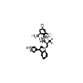 Nc1cc(Cl)cc(Cl)c1S(=O)(=O)NC(Cn1cc(-c2cn[nH]c2)c2ccccc21)C(F)(F)F